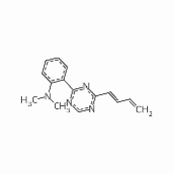 C=CC=Cc1ncnc(-c2ccccc2N(C)C)n1